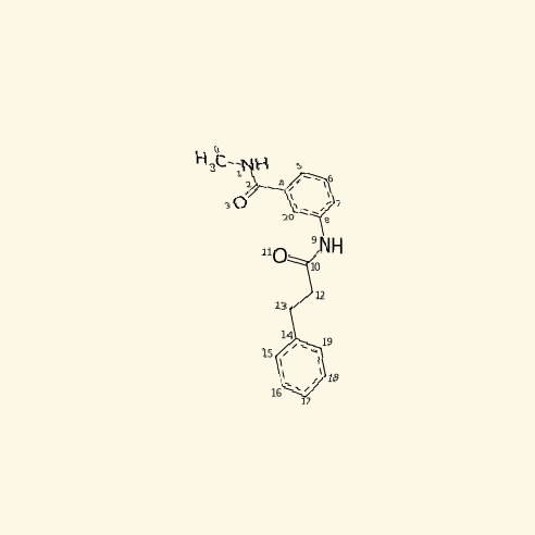 CNC(=O)c1cccc(NC(=O)CCc2ccccc2)c1